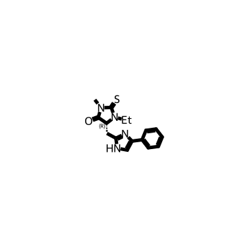 CCN1C(=S)N(C)C(=O)[C@H]1Cc1nc(-c2ccccc2)c[nH]1